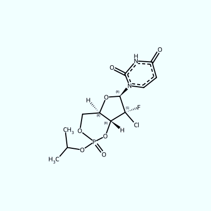 CC(C)OP1(=O)OC[C@H]2O[C@@H](n3ccc(=O)[nH]c3=O)[C@@](F)(Cl)[C@@H]2O1